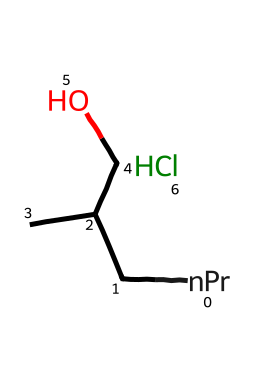 CCCCC(C)CO.Cl